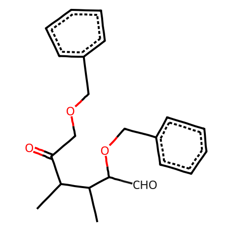 CC(C(=O)COCc1ccccc1)C(C)C(C=O)OCc1ccccc1